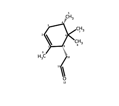 CC1=CC[C@H](C)C(C)(C)[C@@H]1CC=O